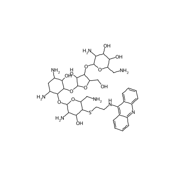 NCC1OC(OC2C(CO)OC(OC3C(O)C(N)CC(N)C3OC3OC(CN)C(SCCNc4c5ccccc5nc5ccccc45)C(O)C3N)C2O)C(N)C(O)C1O